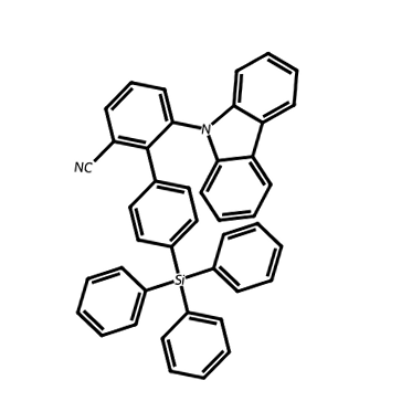 N#Cc1cccc(-n2c3ccccc3c3ccccc32)c1-c1ccc([Si](c2ccccc2)(c2ccccc2)c2ccccc2)cc1